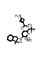 CN(C(=O)C12CC(N)(C1)C2)[C@@H](c1ccc(N[C@H]2Cc3ccccc3C2(C)C)cn1)C(F)(F)F.Cl.Cl